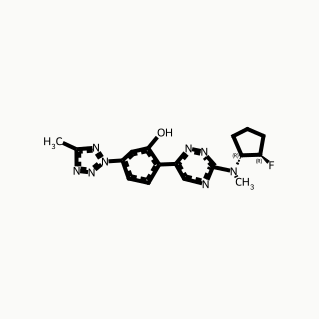 Cc1nnn(-c2ccc(-c3cnc(N(C)[C@@H]4CCC[C@H]4F)nn3)c(O)c2)n1